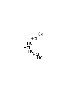 Cl.Cl.Cl.Cl.Cl.Cl.[Co]